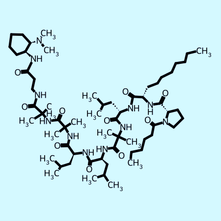 CCCCCCCC[C@H](NC(=O)[C@@H]1CCCN1C(=O)CCCCC)C(=O)N[C@@H](CC(C)C)C(=O)NC(C)(C)C(=O)N[C@@H](CC(C)C)C(=O)N[C@@H](CC(C)C)C(=O)NC(C)(C)C(=O)NC(C)(C)C(=O)NCCC(=O)N[C@H]1CCCC[C@@H]1N(C)C